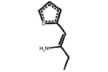 CCC(N)=Cc1ccco1